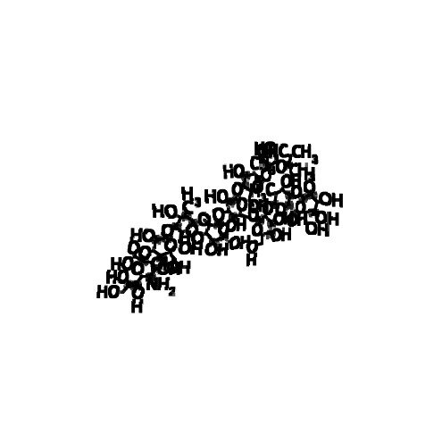 CC1C(O)[C@H](O[C@@H]2OC(CO)[C@H](O)C(O)[C@@H]2O)[C@H](CO)O[C@H]1OC1[C@@H](OCC2O[C@@H](O[C@@H]3C(CO)O[C@@H](O[C@@H](CO)C(CO)O[C@@H](C)C(C)C)C(C)[C@H]3O)[C@H](O)C(O[C@H]3O[C@H](CO)[C@@H](O)C(O)C3O[C@@H]3OC(CO)[C@@H](O[C@@H]4OC(CO)[C@H](O)C(O[C@]5(C(=O)O)C[C@@H](O)[C@@H](N)C([C@H](O)[C@H](O)CO)O5)[C@@H]4O)C(O)[C@@H]3C)[C@@H]2O)OC(CO)[C@@H](O)[C@@H]1O